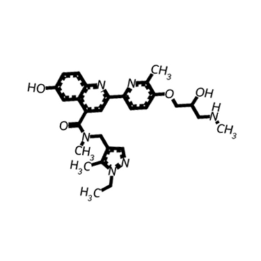 CCn1ncc(CN(C)C(=O)c2cc(-c3ccc(OCC(O)CNC)c(C)n3)nc3ccc(O)cc23)c1C